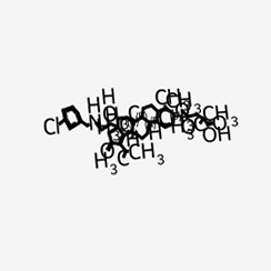 CC(C)C1=C2[C@H]3CC[C@@H]4[C@@]5(C)CC[C@H](OC(=O)CC(C)(C)C(=O)O)C(C)(C)C5CC[C@@]4(C)[C@]3(C)CCC2(C(O)CNCc2cccc(Cl)c2)CC1=O